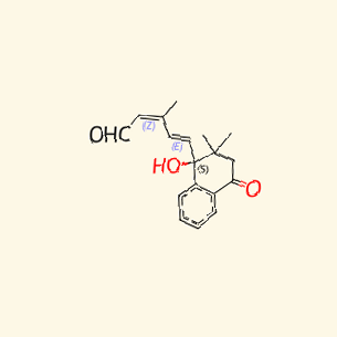 CC(=C/C=O)/C=C/[C@@]1(O)c2ccccc2C(=O)CC1(C)C